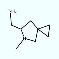 CN1CC2(CC2)CC1CN